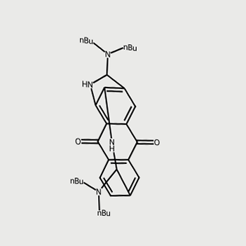 CCCCN(CCCC)C1Nc2c3cc4c(c2NC3N(CCCC)CCCC)C(=O)c2ccc1cc2C4=O